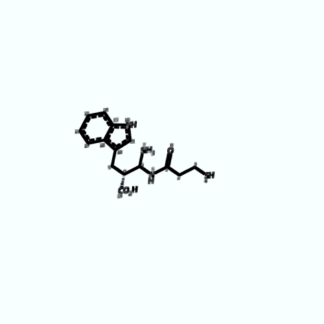 O=C(CCS)NC([SiH3])[C@@H](Cc1c[nH]c2ccccc12)C(=O)O